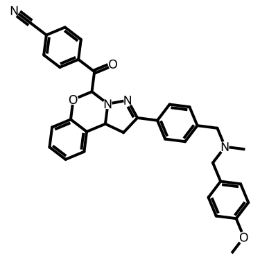 COc1ccc(CN(C)Cc2ccc(C3=NN4C(C(=O)c5ccc(C#N)cc5)Oc5ccccc5C4C3)cc2)cc1